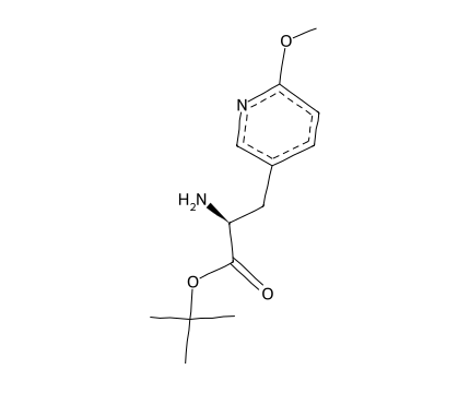 COc1ccc(C[C@H](N)C(=O)OC(C)(C)C)cn1